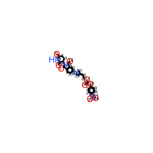 O=C1CCC(N2C(=O)c3ccc(N4CC(CCOC(=O)Oc5ccc([N+](=O)[O-])cc5)C4)cc3C2=O)C(=O)N1